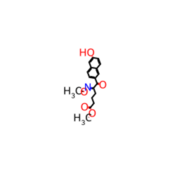 CON=C(CCCC(=O)OC)C(=O)c1ccc2cc(O)ccc2c1